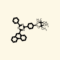 CC1(C)OB(c2ccc(-c3nc(-c4ccccc4)nc(-c4cc5ccccc5c5ccccc45)n3)cc2)OC1(C)C